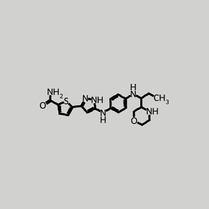 CCC(Nc1ccc(Nc2cc(-c3ccc(C(N)=O)s3)n[nH]2)cc1)C1COCCN1